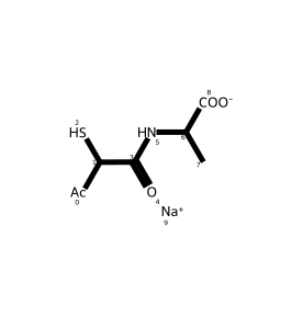 CC(=O)C(S)C(=O)NC(C)C(=O)[O-].[Na+]